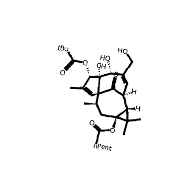 CCCCCC(=O)O[C@@]12C[C@@H](C)[C@]34C=C(C)[C@H](OC(=O)C(C)(C)C)[C@@]3(O)[C@H](O)C(CO)=C[C@H](C4=O)[C@@H]1C2(C)C